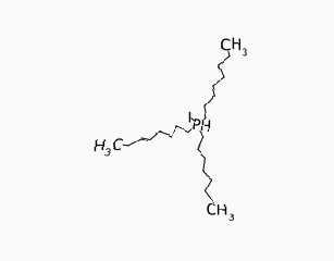 CCCCCCCC[PH](I)(CCCCCCCC)CCCCCCCC